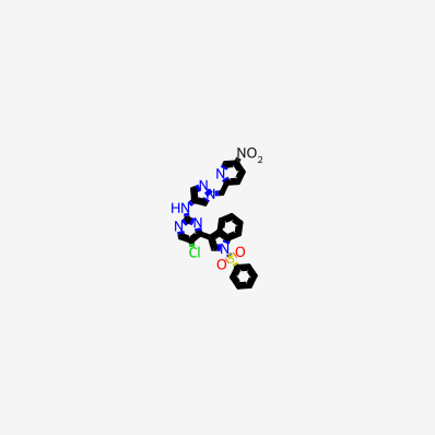 O=[N+]([O-])c1ccc(Cn2cc(Nc3ncc(Cl)c(-c4cn(S(=O)(=O)c5ccccc5)c5ccccc45)n3)cn2)nc1